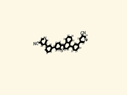 N#Cc1cncc(-c2cccc(-c3ccc4c(c3)sc3cc(-c5cccc(-c6cncc(C#N)c6)c5)c5ccccc5c34)c2)c1